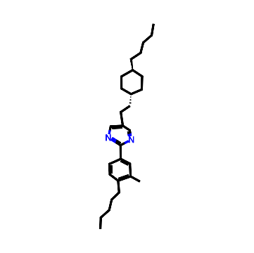 CCCCCc1ccc(-c2ncc(CC[C@H]3CC[C@H](CCCCC)CC3)cn2)cc1C